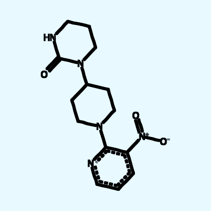 O=C1NCCCN1C1CCN(c2ncccc2[N+](=O)[O-])CC1